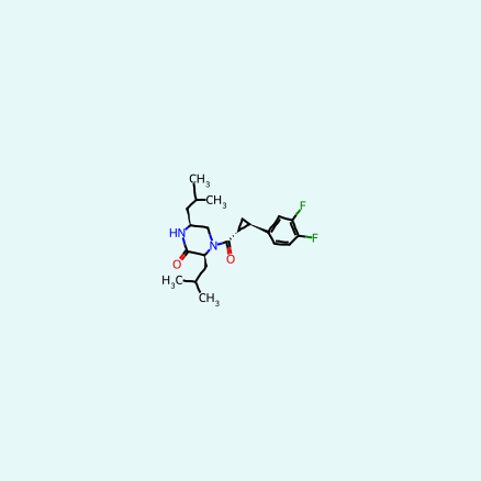 CC(C)C[C@H]1CN(C(=O)[C@@H]2C[C@H]2c2ccc(F)c(F)c2)[C@@H](CC(C)C)C(=O)N1